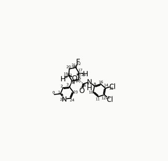 Cc1cc([C@@H]2[C@@H](C(=O)Nc3ccc(Cl)c(Cl)c3)[C@@H]3O[C@H]2C[C@H]3F)ccn1